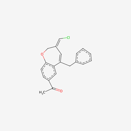 CC(=O)c1ccc2c(c1)C(Cc1ccccc1)=CC(=CCl)CO2